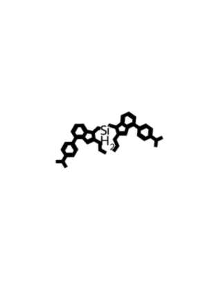 CCCC1=Cc2c(-c3ccc(C(C)C)cc3)cccc2C1C[SiH2]CC1C(CCC)=Cc2c(-c3ccc(C(C)C)cc3)cccc21